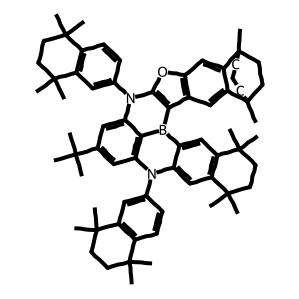 CC(C)(C)c1cc2c3c(c1)N(c1ccc4c(c1)C(C)(C)CCC4(C)C)c1oc4cc5c(cc4c1B3c1cc3c(cc1N2c1ccc2c(c1)C(C)(C)CCC2(C)C)C(C)(C)CCC3(C)C)C1(C)CCCC5(C)CC1